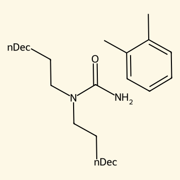 CCCCCCCCCCCCN(CCCCCCCCCCCC)C(N)=O.Cc1ccccc1C